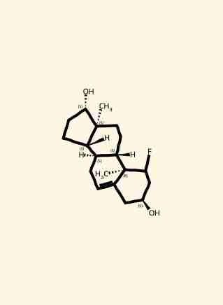 C[C@]12CC[C@H]3[C@@H](CC=C4C[C@H](O)CC(F)[C@@]43C)[C@@H]1CC[C@@H]2O